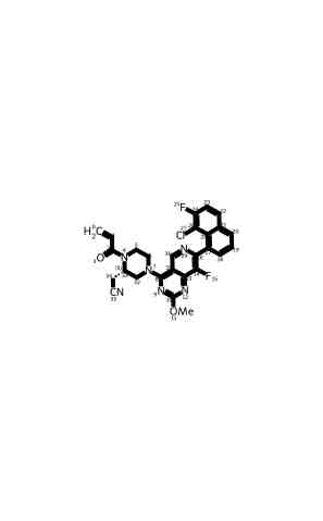 C=CC(=O)N1CCN(c2nc(OC)nc3c(F)c(-c4cccc5ccc(F)c(Cl)c45)ncc23)C[C@@H]1CC#N